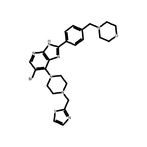 Brc1cnc2[nH]c(-c3ccc(CN4CCOCC4)cc3)nc2c1N1CCN(Cc2nccs2)CC1